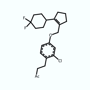 CC(=O)CCc1ccc(OCC2=C(C3CCC(F)(F)CC3)CCC2)cc1Cl